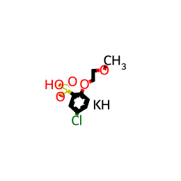 COCCOc1ccc(Cl)cc1S(=O)(=O)O.[KH]